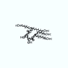 CCCCCCCCCCCCCCCCCCN(CCCCCCCCCCCCCCCCCC)CCOC(=O)CCN(CCO)CCN(CCO)CCC(=O)OCCN(CCCCCCCCCCCCCCCCCC)CCCCCCCCCCCCCCCCCC